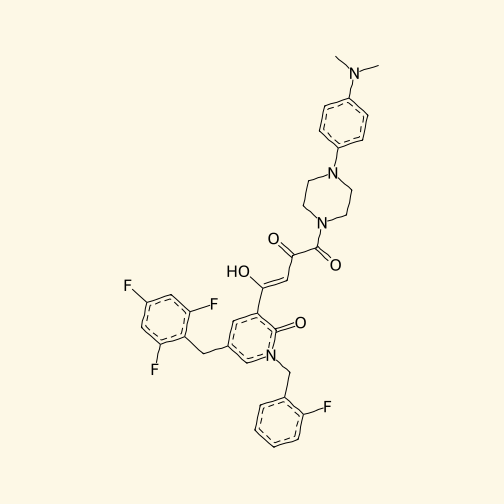 CN(C)c1ccc(N2CCN(C(=O)C(=O)/C=C(\O)c3cc(Cc4c(F)cc(F)cc4F)cn(Cc4ccccc4F)c3=O)CC2)cc1